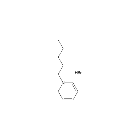 Br.CCCCCN1C=CC=CC1